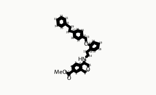 COC(=O)c1ccc2c(c1)COCC2NCCc1ccccc1OCc1ccc(CCc2ccccc2)cc1